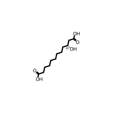 O=C(O)CCCCCCCC[C@@H](O)CC(=O)O